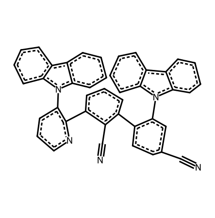 N#Cc1ccc(-c2cccc(-c3ncccc3-n3c4ccccc4c4ccccc43)c2C#N)c(-n2c3ccccc3c3ccccc32)c1